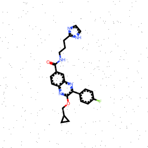 O=C(NCCCc1ncc[nH]1)c1ccc2nc(OCC3CC3)c(-c3ccc(F)cc3)nc2c1